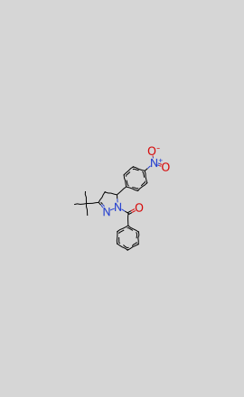 CC(C)(C)C1=NN(C(=O)c2ccccc2)C(c2ccc([N+](=O)[O-])cc2)C1